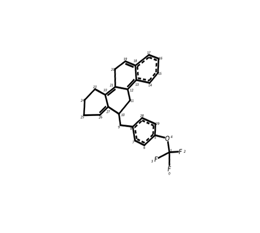 FC(F)(F)Oc1ccc(CC2CC3=c4ccccc4=CCC3=C3CCCC=C32)cc1